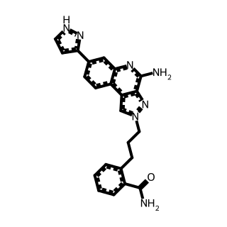 NC(=O)c1ccccc1CCCn1cc2c(n1)c(N)nc1cc(-c3cc[nH]n3)ccc12